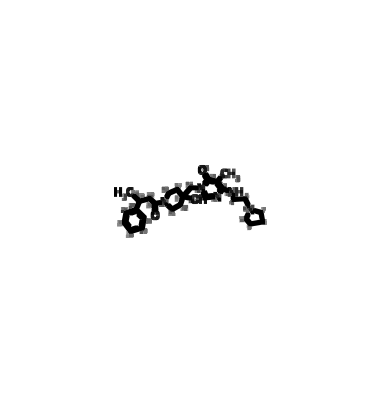 Cc1c(NCCN2CCCC2)ncn(CC2(O)CCN(C(=O)CC(C)c3ccccc3)CC2)c1=O